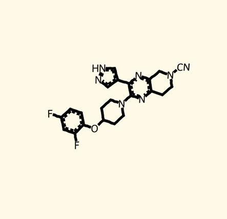 N#CN1CCc2nc(N3CCC(Oc4ccc(F)cc4F)CC3)c(-c3cn[nH]c3)nc2C1